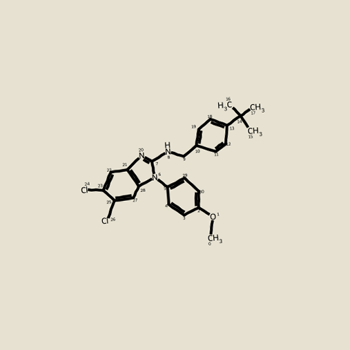 COc1ccc(-n2c(NCc3ccc(C(C)(C)C)cc3)nc3cc(Cl)c(Cl)cc32)cc1